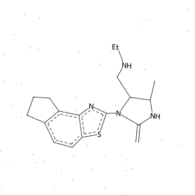 C=C1NC(C)C(CNCC)N1c1nc2c3c(ccc2s1)CCC3